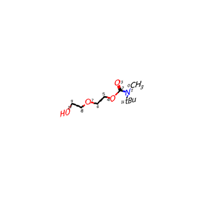 CN(C(=O)OCCOCCO)C(C)(C)C